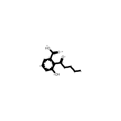 CCCCC(=O)c1c(O)cccc1C(=O)O